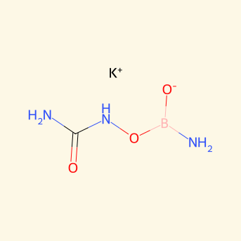 NB([O-])ONC(N)=O.[K+]